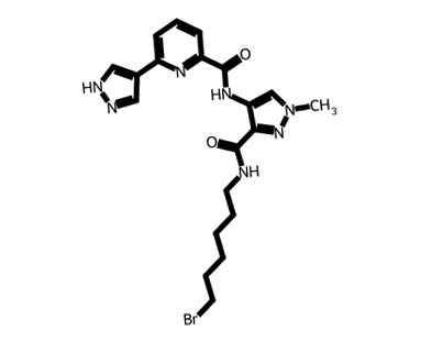 Cn1cc(NC(=O)c2cccc(-c3cn[nH]c3)n2)c(C(=O)NCCCCCCBr)n1